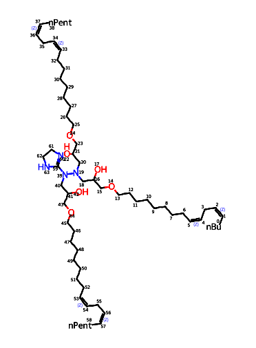 CCCC/C=C\C/C=C\CCCCCCCCOCC(O)CN(CC(O)COCCCCCCCC/C=C\C/C=C\CCCCC)N(CC(O)COCCCCCCCC/C=C\C/C=C\CCCCC)C1=NCCN1